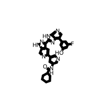 O=C(Nc1cncc(-c2cc3c(-c4nc5c(-c6cc(O)cc(F)c6)cncc5[nH]4)n[nH]c3cn2)c1)C1CCCCC1